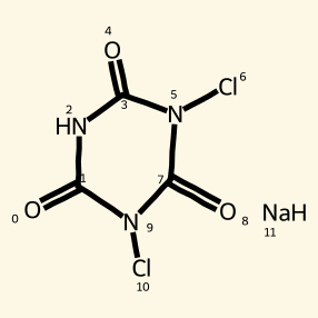 O=c1[nH]c(=O)n(Cl)c(=O)n1Cl.[NaH]